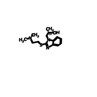 C[C@H](O)Cn1c(SCCN(C)C)nc2ccccc21